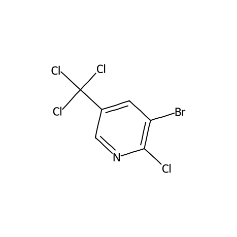 Clc1ncc(C(Cl)(Cl)Cl)cc1Br